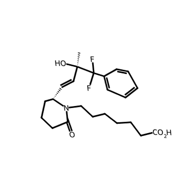 C[C@@](O)(C=C[C@H]1CCCC(=O)N1CCCCCCC(=O)O)C(F)(F)c1ccccc1